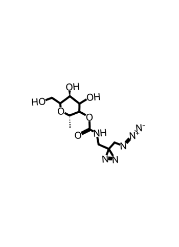 C[C@@H]1OC(CO)[C@@H](O)C(O)C1OC(=O)NCC1(CN=[N+]=[N-])N=N1